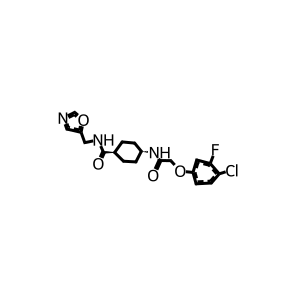 O=C(COc1ccc(Cl)c(F)c1)N[C@H]1CC[C@H](C(=O)NCc2cnco2)CC1